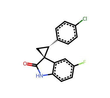 O=C1Nc2ccc(F)cc2[C@]12C[C@@H]2c1ccc(Cl)cc1